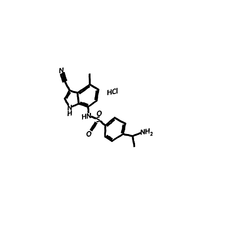 Cc1ccc(NS(=O)(=O)c2ccc(C(C)N)cc2)c2[nH]cc(C#N)c12.Cl